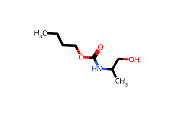 CCCCOC(=O)NC(C)CO